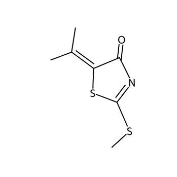 CSC1=NC(=O)C(=C(C)C)S1